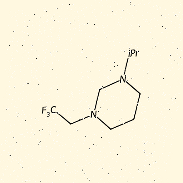 CC(C)N1CCCN(CC(F)(F)F)C1